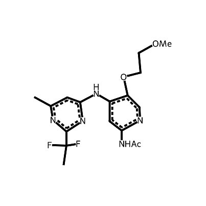 COCCOc1cnc(NC(C)=O)cc1Nc1cc(C)nc(C(C)(F)F)n1